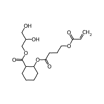 C=CC(=O)OCCCC(=O)OC1CCCCC1C(=O)OCC(O)CO